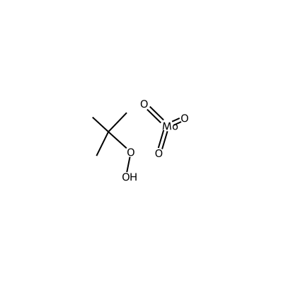 CC(C)(C)OO.[O]=[Mo](=[O])=[O]